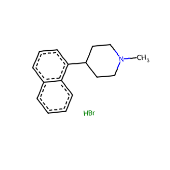 Br.CN1CCC(c2cccc3ccccc23)CC1